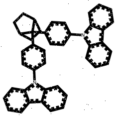 c1ccc2c(c1)c1ccccc1n2-c1ccc(C2(c3ccc(-n4c5ccccc5c5ccccc54)cc3)C3CCC2CC3)cc1